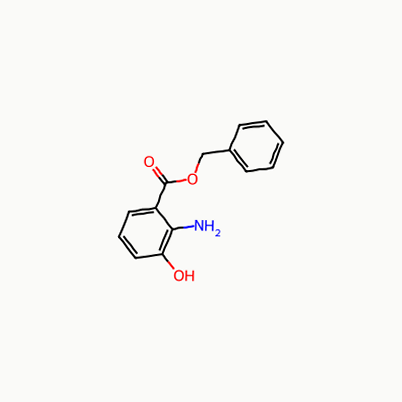 Nc1c(O)cccc1C(=O)OCc1ccccc1